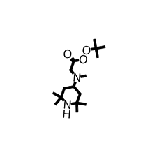 CN(CC(=O)OOC(C)(C)C)C1CC(C)(C)NC(C)(C)C1